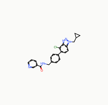 O=C(NCc1ccc(-c2ccc3c(nnn3CC3CC3)c2Cl)cc1)c1cccnc1